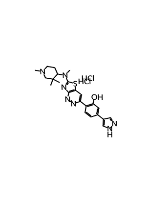 CN1CCC(N(C)c2nc3nnc(-c4ccc(-c5cn[nH]c5)cc4O)cc3s2)C(C)(C)C1.Cl.Cl